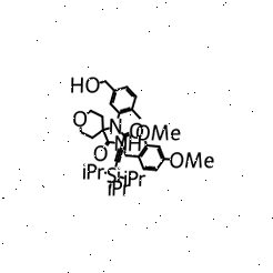 COc1ccc(CNC(=O)C2(N(C(=O)C#C[Si](C(C)C)(C(C)C)C(C)C)c3cc(CO)ccc3C)CCOCC2)c(OC)c1